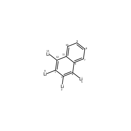 [Li][c]1[c]([Li])[c]([Li])c2ccccc2[c]1[Li]